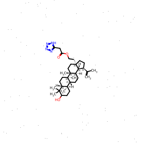 C=C(C)[C@@H]1CC[C@]2(CCOC(=O)Cc3nnn[nH]3)CC[C@]3(C)[C@H](CC[C@@H]4[C@@]5(C)CCC(O)C(C)(C)[C@@H]5CC[C@]43C)[C@@H]12